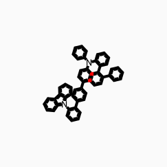 c1ccc(-c2ccccc2-c2ccccc2N(c2ccccc2)c2ccc(-c3ccc(-c4ccccc4-n4c5ccccc5c5ccccc54)cc3)cc2)cc1